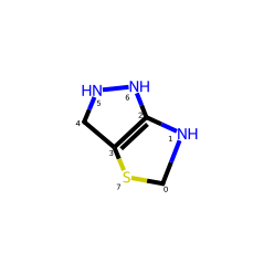 C1NC2=C(CNN2)S1